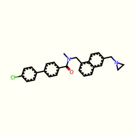 CN(Cc1cccc2cc(CN3CC3)ccc12)C(=O)c1ccc(-c2ccc(Cl)cc2)cc1